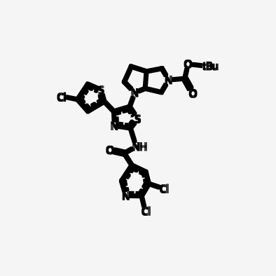 CC(C)(C)OC(=O)N1CC2CCN(c3sc(NC(=O)c4cnc(Cl)c(Cl)c4)nc3-c3cc(Cl)cs3)C2C1